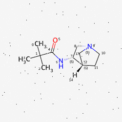 CC(C)(C)C(=O)N[C@@H]1C[N@]2CC[C@H]1C2